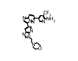 Nc1ncc(-c2ccc3ncc(-c4cnc5c(c4)ncn5CCN4CCOCC4)n3n2)cc1C(F)(F)F